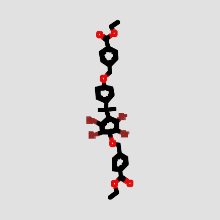 CCOC(=O)c1ccc(COc2ccc(C(C)(C)c3c(Br)c(Br)c(OCc4ccc(C(=O)OCC)cc4)c(Br)c3Br)cc2)cc1